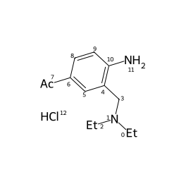 CCN(CC)Cc1cc(C(C)=O)ccc1N.Cl